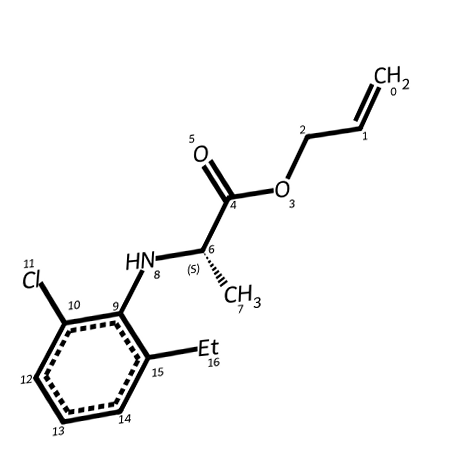 C=CCOC(=O)[C@H](C)Nc1c(Cl)cccc1CC